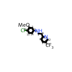 COc1cc(NCCc2ccc(C(F)(F)F)cn2)ccc1Cl